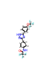 O=C(Nc1ccc(-c2n[nH]c(-c3ccc(OC(F)(F)F)cc3)n2)cc1)C(F)(F)F